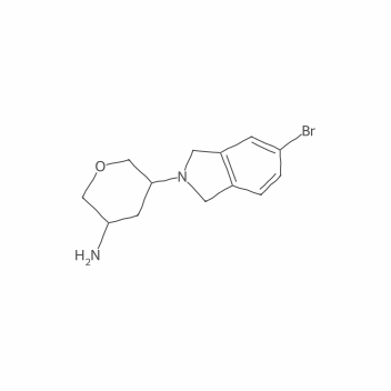 NC1COCC(N2Cc3ccc(Br)cc3C2)C1